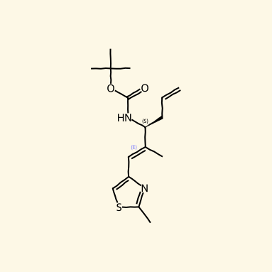 C=CC[C@H](NC(=O)OC(C)(C)C)/C(C)=C/c1csc(C)n1